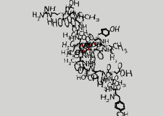 CC[C@H](C)[C@H](NC(=O)[C@H](CO)NC(=O)[C@H](Cc1ccc(O)cc1)NC(=O)[C@H](CC(C)C)NC(=O)[C@H](CO)NC(=O)[C@@H](NC(=O)[C@@H](NC(=O)[C@@H](NC(=O)CNC(=O)[C@H](CCC(=O)O)NC(=O)C(C)(C)NC(=O)[C@@H](N)Cc1ccc(O)cc1)[C@@H](C)O)C(C)C)C(C)C)C(=O)NC(C)(C)C(=O)N[C@@H](CC(C)C)C(=O)N[C@@H](CC(=O)O)C(=O)N[C@@H](CCCNC(=N)N)C(=O)O